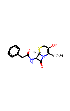 O=C(Cc1ccccc1)NC1C(=O)N2C(C(=O)O)=C(O)CS[C@H]12